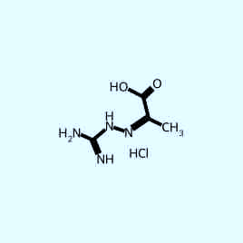 CC(=NNC(=N)N)C(=O)O.Cl